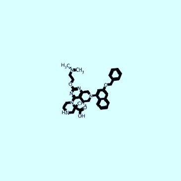 CN(C)CCOc1nc2c(c(N3CCNCC3(C)C(=O)O)n1)CCN(c1cc(OCc3ccccc3)cc3ccccc13)C2